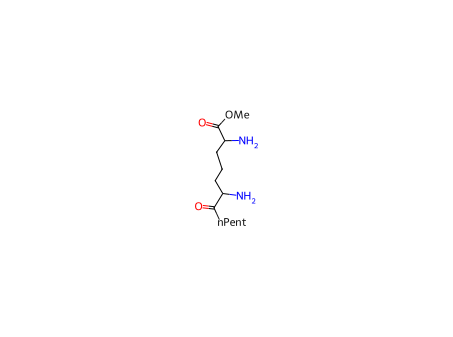 CCCCCC(=O)C(N)CCCC(N)C(=O)OC